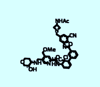 COCc1cc(C(=O)NC2C=CC=C(c3cccc(-c4nc5cc(CN6CC(NC(C)=O)C6)cc(C#N)c5o4)c3)C2(C)Cl)ncc1CN[C@@H]1CCOC[C@H]1O